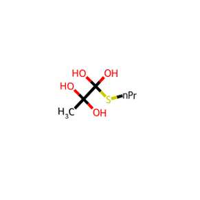 CCCSC(O)(O)C(C)(O)O